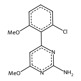 COc1cc(-c2c(Cl)cccc2OC)nc(N)n1